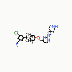 CC(C)(c1ccc(OCc2ccnc(N3CC4(CCNCC4)C3)n2)cc1)c1cc(Cl)cc(C#N)c1